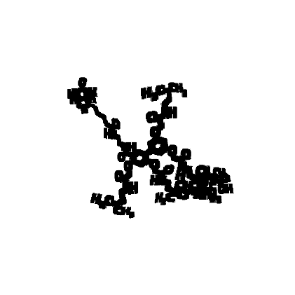 CC(C)CCNC(=O)COc1cc(OCC(=O)NCCC(C)(C)OCC(C)(C)C(=O)O)cc(-c2cc(C(=O)NCCNC(=O)CCCC[C@@H]3SC[C@@H]4NC(=O)N[C@@H]43)c(OCC(=O)NCCC(C)C)cc2OCC(=O)NCCC(C)(C)OCN)c1